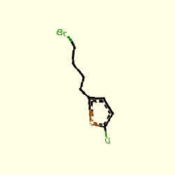 Clc1ccc(CCCCBr)s1